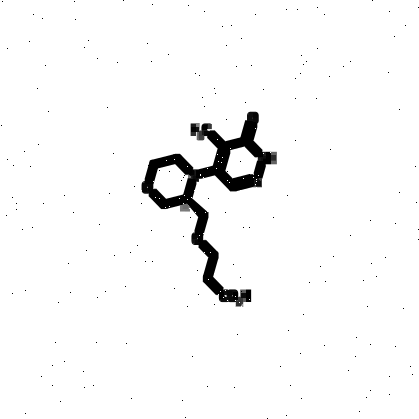 O=C(O)CCOC[C@H]1COCCN1c1cn[nH]c(=O)c1C(F)(F)F